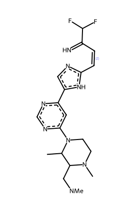 CNCC1C(C)N(c2cc(-c3cnc(/C=C\C(=N)C(F)F)[nH]3)ncn2)CCN1C